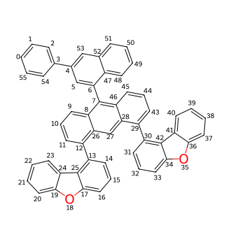 c1ccc(-c2cc(-c3c4cccc(-c5cccc6oc7ccccc7c56)c4cc4c(-c5cccc6oc7ccccc7c56)cccc34)c3ccccc3c2)cc1